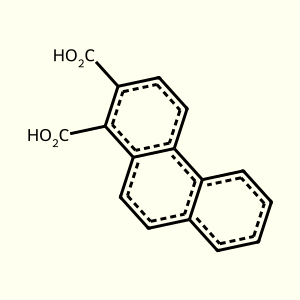 O=C(O)c1ccc2c(ccc3ccccc32)c1C(=O)O